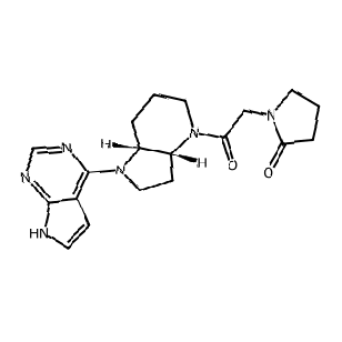 O=C1CCCN1CC(=O)N1CCC[C@@H]2[C@H]1CCN2c1ncnc2[nH]ccc12